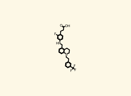 O=C(O)CCc1ccc(NCc2cccc3c2CCCN3CCc2cccc(C(F)(F)F)c2)cc1F